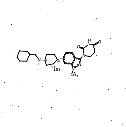 Cn1nc(N2CCC(=O)NC2=O)c2ccc([C@H]3CC[C@@H](NCC4CCCCC4)C[C@H]3O)cc21